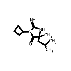 CC(C)CC1(C)NC(=N)N(C2CCC2)C1=O